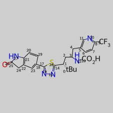 CC(C)(C)[C@@H](CC(Cc1ccc(C(F)(F)F)nc1)NC(=O)O)c1nnc(-c2ccc3c(c2)CC(=O)N3)s1